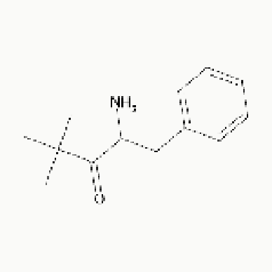 CC(C)(C)C(=O)C(N)Cc1ccccc1